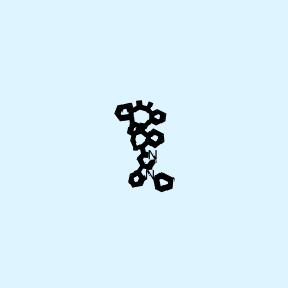 Cc1c2cc3c(c1-c1ccccc1C(C)C(C)c1ccccc1-2)-c1ccccc1C(c1cc2c4ccccc4n(-c4ccccc4)c2cn1)CC3